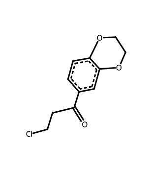 O=C(CCCl)c1ccc2c(c1)OCCO2